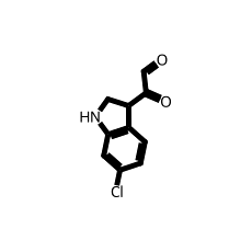 O=CC(=O)C1CNc2cc(Cl)ccc21